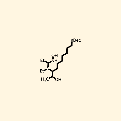 CCCCCCCCCCCCCCCCCC(C(C)O)N(CC)C(CC)NO